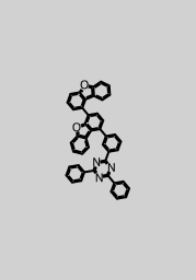 c1ccc(-c2nc(-c3ccccc3)nc(-c3cccc(-c4ccc(-c5cccc6oc7ccccc7c56)c5oc6ccccc6c45)c3)n2)cc1